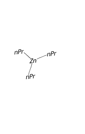 CC[CH2][Zn]([CH2]CC)[CH2]CC